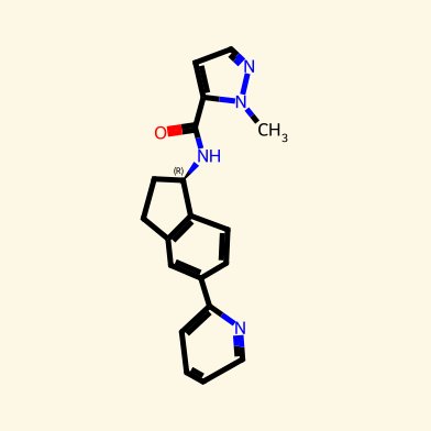 Cn1nccc1C(=O)N[C@@H]1CCc2cc(-c3ccccn3)ccc21